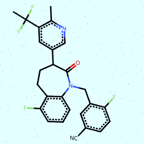 Cc1ncc(C2CCc3c(F)cccc3N(Cc3cc(C#N)ccc3F)C2=O)cc1C(C)(F)F